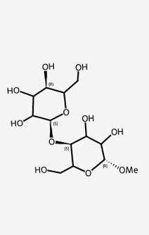 CO[C@@H]1OC(CO)[C@@H](O[C@@H]2OC(CO)[C@H](O)C(O)C2O)C(O)C1O